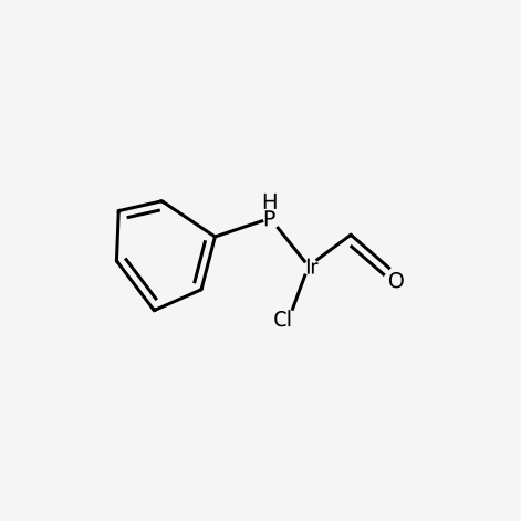 O=[CH][Ir]([Cl])[PH]c1ccccc1